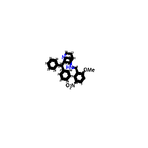 COc1ccc([N+](=O)[O-])cc1CNC1C2CCN(CC2)C1C(c1ccccc1)c1ccccc1